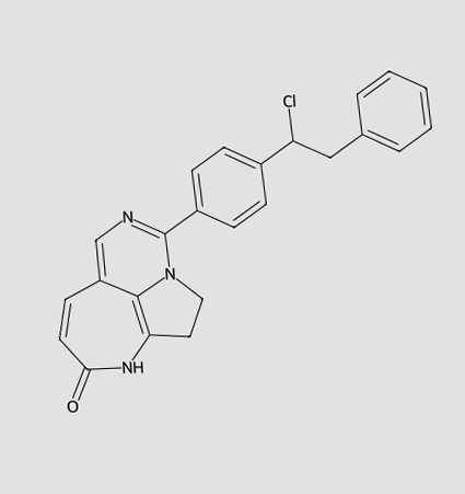 O=C1C=CC2=CN=C(c3ccc(C(Cl)Cc4ccccc4)cc3)N3CCC(=C23)N1